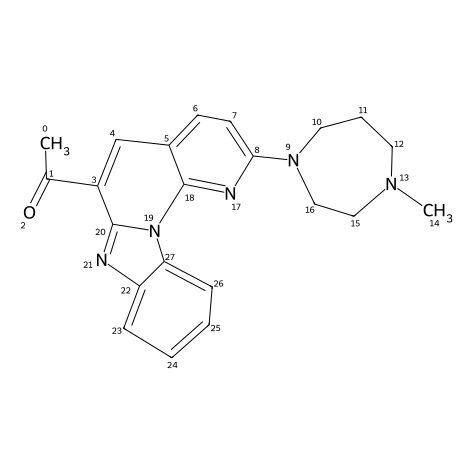 CC(=O)c1cc2ccc(N3CCCN(C)CC3)nc2n2c1nc1ccccc12